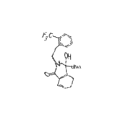 CCCCC1(O)C2=C(C=CCC2)C(=O)N1Cc1ccccc1C(F)(F)F